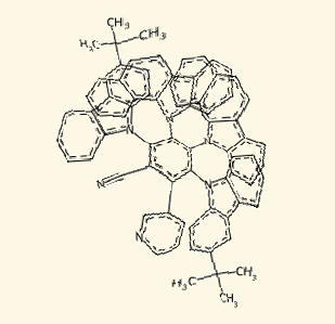 CC(C)(C)c1ccc2c(c1)c1ccccc1n2-c1c(C#N)c(-c2cccnc2)c(-n2c3ccccc3c3cc(C(C)(C)C)ccc32)c(-n2c3ccccc3c3ccc4ccccc4c32)c1-n1c2ccccc2c2ccc3ccccc3c21